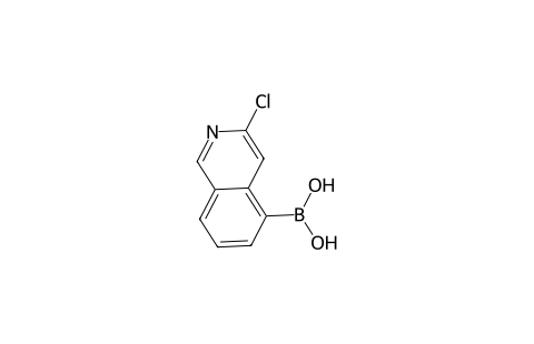 OB(O)c1cccc2cnc(Cl)cc12